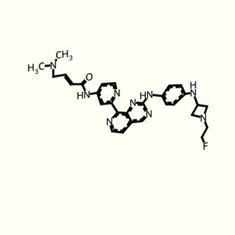 CN(C)CC=CC(=O)Nc1ccnc(-c2nccc3cnc(Nc4ccc(NC5CN(CCF)C5)cc4)nc23)c1